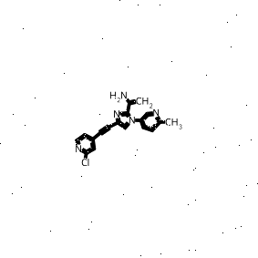 C=C(N)c1nc(C#Cc2ccnc(Cl)c2)cn1-c1ccc(C)nc1